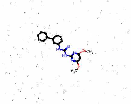 COc1cc(OC)nc(NC(=N)Nc2cccc(-c3ccccc3)c2)n1